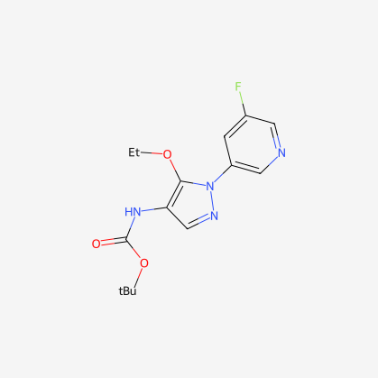 CCOc1c(NC(=O)OC(C)(C)C)cnn1-c1cncc(F)c1